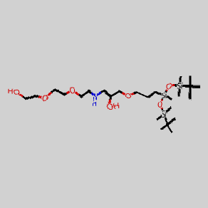 CC(C)(C)[Si](C)(C)O[Si](C)(CCCOCC(O)CNCCOCCOCCO)O[Si](C)(C)C(C)(C)C